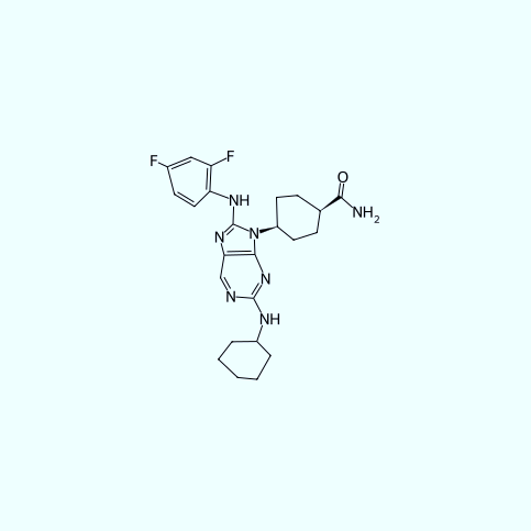 NC(=O)[C@H]1CC[C@@H](n2c(Nc3ccc(F)cc3F)nc3cnc(NC4CCCCC4)nc32)CC1